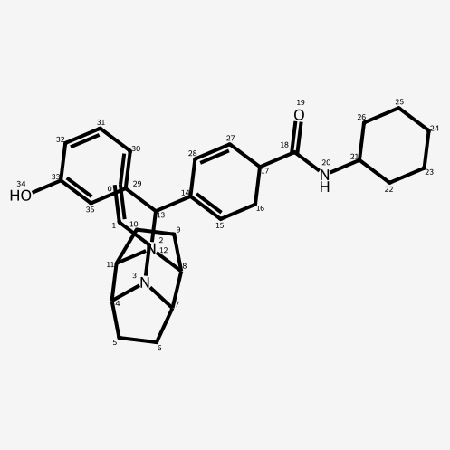 C=CCN1C2CCC1C1CCC2N1C(C1=CCC(C(=O)NC2CCCCC2)C=C1)c1cccc(O)c1